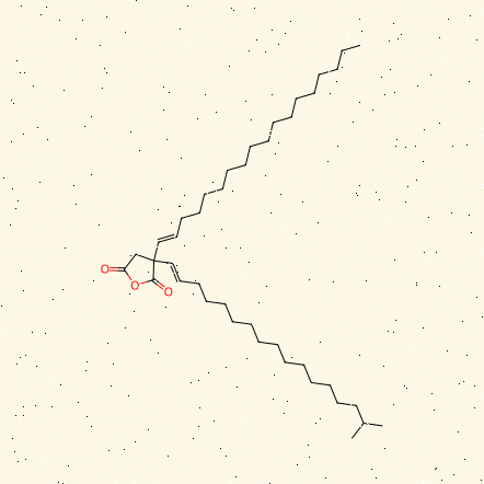 CCCCCCCCCCCCCCCCC=CC1(C=CCCCCCCCCCCCCCC(C)C)CC(=O)OC1=O